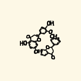 COc1cc([C@@H]2CC(=O)c3c(O)cc(O)cc3O2)ccc1O.O=C1CC(c2ccccc2)Oc2ccccc21